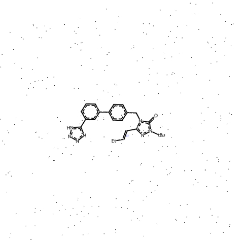 CC/C=C/c1nn(C(C)(C)C)c(=O)n1Cc1ccc(-c2cccc(-c3nnn[nH]3)c2)cc1